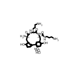 Cl.Cl.Cl.NCCCNC(=O)[C@@H]1Cc2cc(ccc2O)-c2ccc(O)c(c2)C[C@H](N)C(=O)N[C@@H](CCCN)C(=O)N1